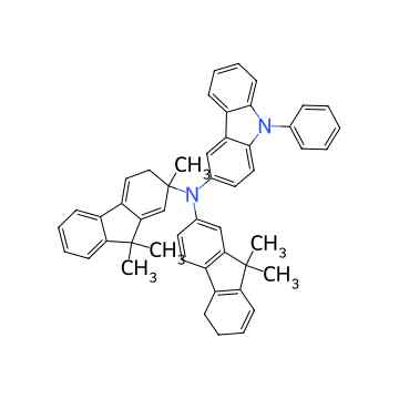 CC1(C)C2=CC(C)(N(c3ccc4c(c3)C(C)(C)C3=C4CCC=C3)c3ccc4c(c3)c3ccccc3n4-c3ccccc3)CC=C2c2ccccc21